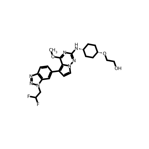 COc1nc(N[C@H]2CC[C@@H](OCCO)CC2)nn2ccc(-c3ccc4nnn(CC(F)F)c4c3)c12